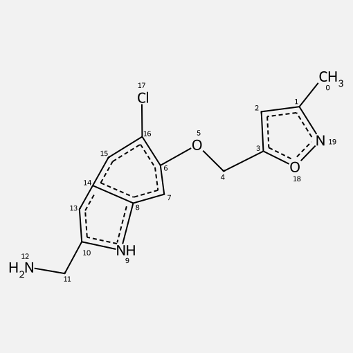 Cc1cc(COc2cc3[nH]c(CN)cc3cc2Cl)on1